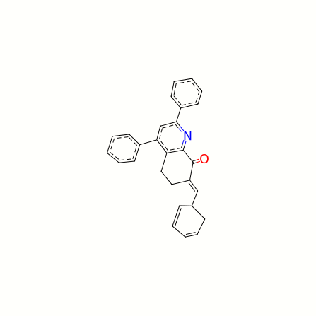 O=C1/C(=C/C2C=CC=CC2)CCc2c(-c3ccccc3)cc(-c3ccccc3)nc21